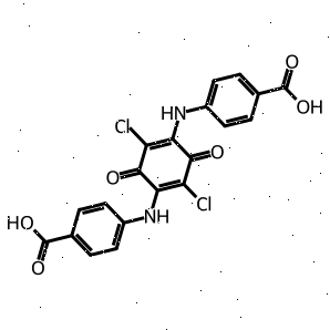 O=C1C(Cl)=C(Nc2ccc(C(=O)O)cc2)C(=O)C(Cl)=C1Nc1ccc(C(=O)O)cc1